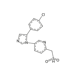 O=[SH](=O)Cc1ccc(-n2cncc2-c2ccc(Cl)cc2)cn1